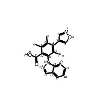 Cc1c(C)c(-c2cnoc2)c(F)c(-n2ncc3cccnc32)c1C(=O)O